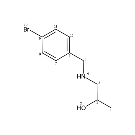 CC(O)CNCc1ccc(Br)cc1